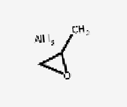 CC1CO1.[AlH3]